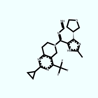 Cc1nc([C@@H]2CCOC2)c(/C(=N\C=N)N2CCc3nc(C4CC4)nc(C(F)(F)F)c3C2)[nH]1